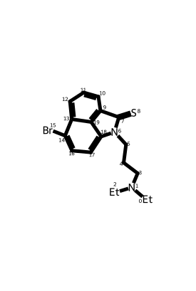 CCN(CC)CCCN1C(=S)c2cccc3c(Br)ccc1c23